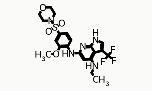 CCNc1cc(Nc2ccc(S(=O)(=O)N3CCOCC3)cc2OC)nc2[nH]cc(C(F)(F)F)c12